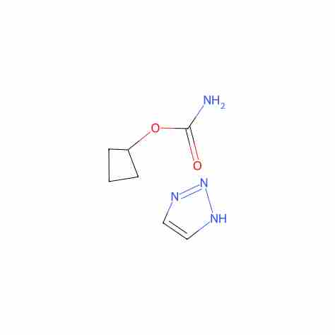 NC(=O)OC1CCC1.c1c[nH]nn1